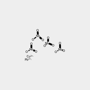 [Cu+2].[O]=[Nb](=[O])[O-].[O]=[Nb](=[O])[O-].[O]=[Nb](=[O])[O-].[O]=[Nb](=[O])[O-].[Pb+2]